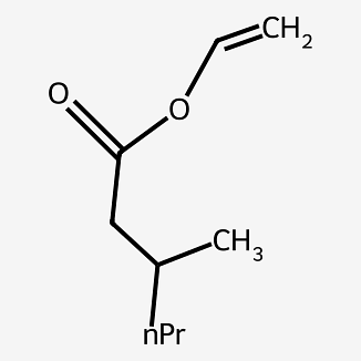 C=COC(=O)CC(C)CCC